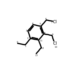 CCc1ccc(CCl)c(CCl)c1CC